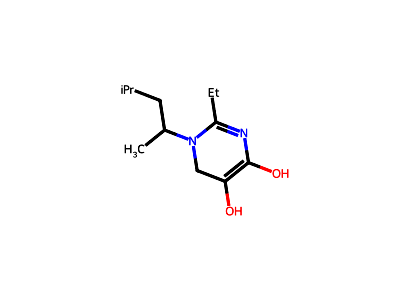 CCC1=NC(O)=C(O)CN1C(C)CC(C)C